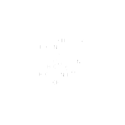 CN(C)C(=O)c1cc(Cl)cnc1S(=O)(=O)NC(C)(C)C